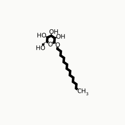 CCCCCCCCCCCCCCO[C@H]1O[C@H](CO)[C@@H](O)[C@H](O)[C@H]1O